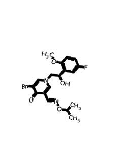 COc1ccc(F)cc1C(O)Cn1cc(Br)c(=O)c(C=NOC(C)C)c1